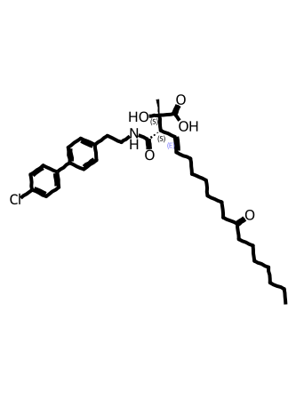 CCCCCCCC(=O)CCCCCC/C=C/[C@H](C(=O)NCCc1ccc(-c2ccc(Cl)cc2)cc1)[C@](C)(O)C(=O)O